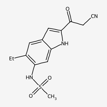 CCc1cc2cc(C(=O)CC#N)[nH]c2cc1NS(C)(=O)=O